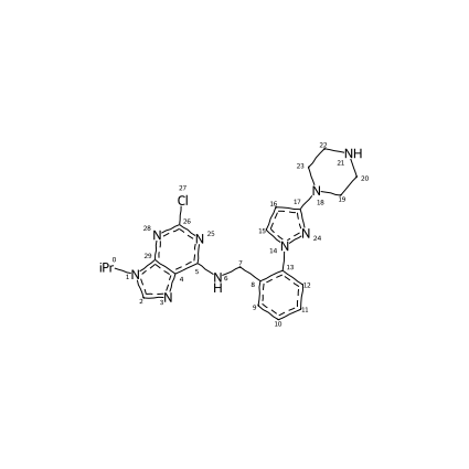 CC(C)n1cnc2c(NCc3ccccc3-n3ccc(N4CCNCC4)n3)nc(Cl)nc21